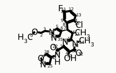 COCCn1cc([C@@H](c2cc(F)ccc2Cl)[C@H](C)c2nc(C(=O)Nc3cnoc3)c(O)c(=O)n2C)cn1